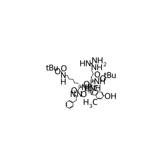 Cc1cc(O)cc(C)c1C[C@H](NC(=O)[C@@H](CCCNC(=N)N)NC(=O)OC(C)(C)C)C(=O)N[C@@H](CCCCCNC(=O)OC(C)(C)C)c1nc(Cc2ccccc2)no1